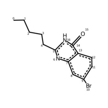 CCCCCc1nc2cc(Br)ccc2c(=O)[nH]1